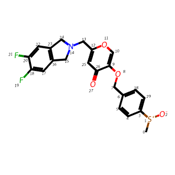 C[S+]([O-])c1ccc(COc2coc(CN3Cc4cc(F)c(F)cc4C3)cc2=O)cc1